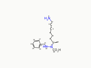 C[C@H](CCCCCCN)N(NCc1ccccc1)C(=O)O